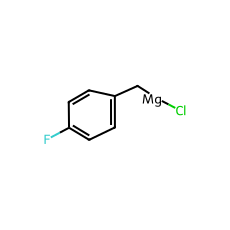 Fc1ccc([CH2][Mg][Cl])cc1